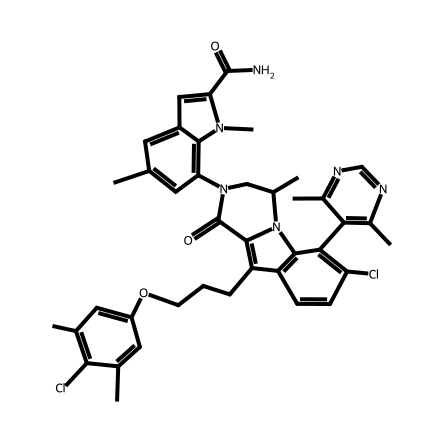 Cc1cc(N2CC(C)n3c(c(CCCOc4cc(C)c(Cl)c(C)c4)c4ccc(Cl)c(-c5c(C)ncnc5C)c43)C2=O)c2c(c1)cc(C(N)=O)n2C